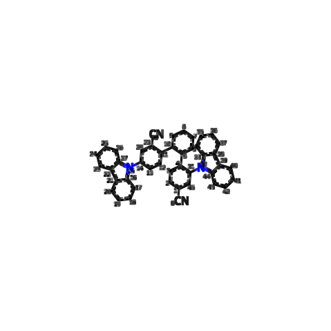 N#Cc1ccc(-c2ccccc2-c2ccc(-n3c4ccccc4c4ccccc43)cc2C#N)c(-n2c3ccccc3c3ccccc32)c1